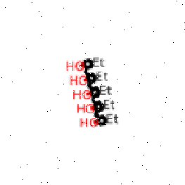 CCc1ccc(O)c(Cc2cc(CC)cc(Cc3cc(CC)cc(Cc4cc(CC)cc(Cc5cc(CC)ccc5O)c4O)c3O)c2O)c1